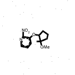 COC1(C)CCCC1Oc1cccnc1[N+](=O)[O-]